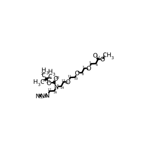 COC(=O)CCOCCOCCOCCN(CCN=[N+]=[N-])C(=O)OC(C)(C)C